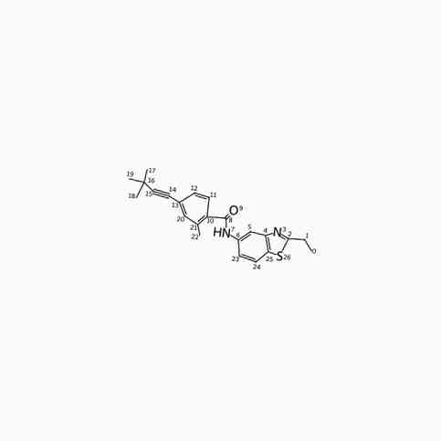 CCc1nc2cc(NC(=O)c3ccc(C#CC(C)(C)C)cc3C)ccc2s1